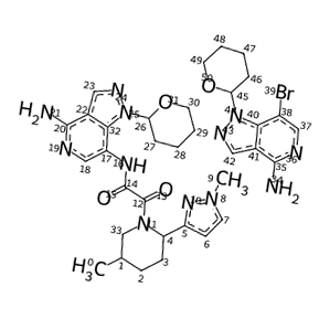 CC1CCC(c2ccn(C)n2)N(C(=O)C(=O)Nc2cnc(N)c3cnn(C4CCCCO4)c23)C1.Nc1ncc(Br)c2c1cnn2C1CCCCO1